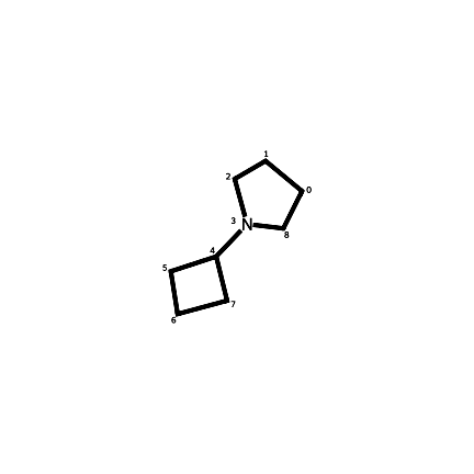 [CH]1CCN(C2CCC2)C1